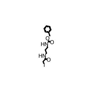 O=C(CI)NCCCNC(=O)OCc1ccccc1